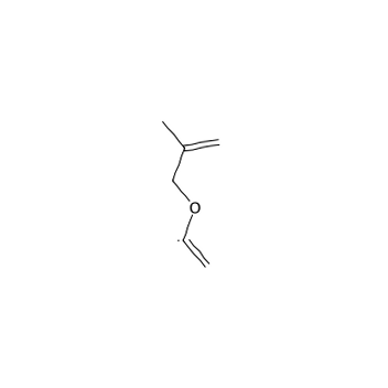 C=[C]OCC(=C)C